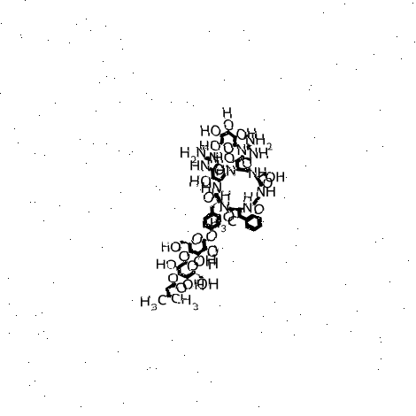 CC(C)CC(=O)O[C@@H]1[C@H](O)[C@@H](O[C@H]2[C@H](O)[C@H](O)[C@@H](Oc3ccc(C[C@H]4NC(=O)[C@H]([C@@H](C)c5ccccc5)NC(=O)CNC(=O)[C@H](CO)NC(=O)[C@@H]([C@@H](O)[C@@H]5CNC(N)=[N+]5[C@H]5O[C@H](O)[C@@H](O)[C@H](O)[C@@H]5O)NC(=O)[C@H]([C@@H](O)[C@@H]5CN=C(N)N5)NC4=O)cc3)O[C@@H]2CO)O[C@H](CO)[C@H]1O